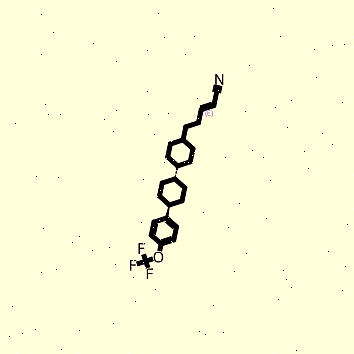 N#C/C=C/CCC1CCC([C@H]2CC[C@H](c3ccc(OC(F)(F)F)cc3)CC2)CC1